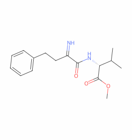 COC(=O)[C@H](NC(=O)C(=N)CCc1ccccc1)C(C)C